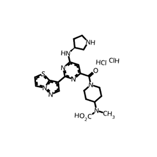 CN(C(=O)O)C1CCN(C(=O)c2cc(N[C@H]3CCNC3)nc(-c3cnn4ccsc34)n2)CC1.Cl.Cl